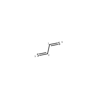 S=[C]C=S